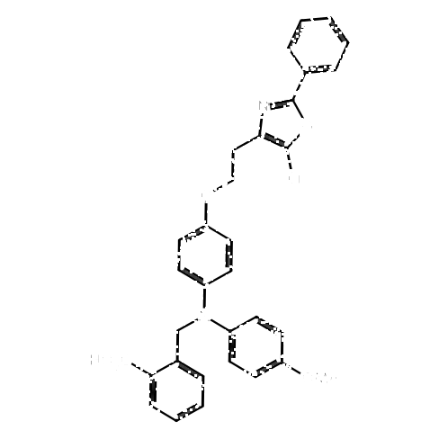 COc1ccc(N(Cc2ccccc2C(=O)O)c2ccc(OCCc3nc(-c4ccccc4)oc3C)cc2)cc1